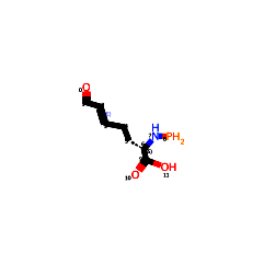 O=C/C=C/CC[C@H](NP)C(=O)O